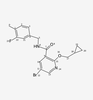 Cc1ccc(CNC(=O)c2cc(Br)cnc2OCC2CC2)cc1F